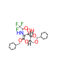 O=C(N[C@H]1[C@H](OCc2ccccc2)O[C@@H]2COC(c3ccccc3)O[C@@H]2[C@@H]1O)C(F)(F)F